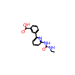 CCNC(=O)Nc1cccc(-c2cccc(C(=O)O)c2)n1